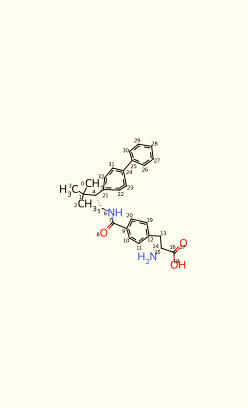 CC(C)(C)[C@@H](CNC(=O)c1ccc(C[C@@H](N)C(=O)O)cc1)c1ccc(-c2ccccc2)cc1